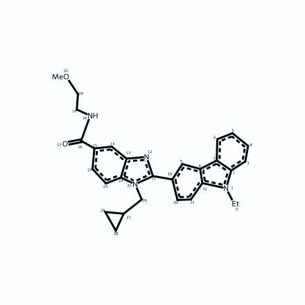 CCn1c2ccccc2c2cc(-c3nc4cc(C(=O)NCCOC)ccc4n3CC3CC3)ccc21